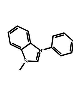 Cn1c[n+](-c2ccccc2)c2ccccc21